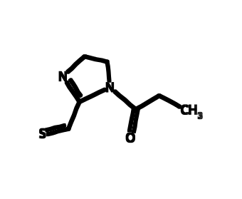 CCC(=O)N1CCN=C1C=S